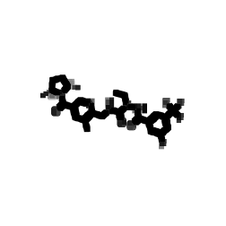 CCN(NC(=O)c1cc(F)cc(C(F)(F)F)c1)C(=O)NCc1ncc(C(=O)N2[C@H](C)CC[C@@H]2C)cc1C